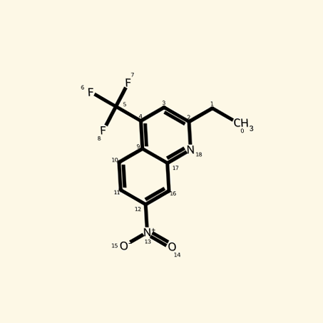 CCc1cc(C(F)(F)F)c2ccc([N+](=O)[O-])cc2n1